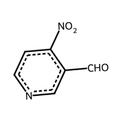 O=Cc1cnccc1[N+](=O)[O-]